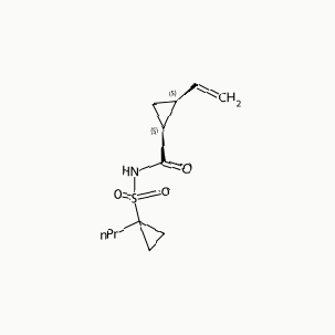 C=C[C@@H]1C[C@@H]1C(=O)NS(=O)(=O)C1(CCC)CC1